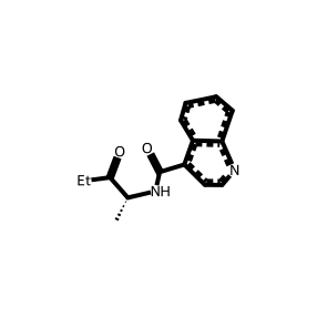 CCC(=O)[C@@H](C)NC(=O)c1ccnc2ccccc12